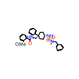 COc1ccccc1C(=O)NC[C@]1(c2ccccc2)CC[C@@H](NS(=O)(=O)N(C)Cc2ccccc2)CC1